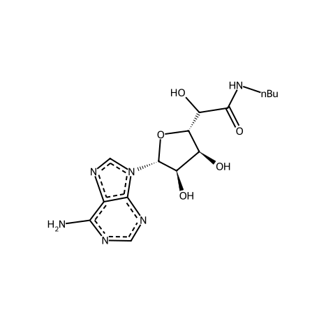 CCCCNC(=O)C(O)[C@H]1O[C@@H](n2cnc3c(N)ncnc32)[C@H](O)[C@@H]1O